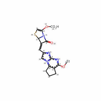 CCOc1nc2nc(C=C3C(=O)N4C(OC(=O)O)=CSC34)cn2c2c1CCC2